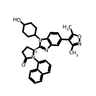 Cc1noc(C)c1-c1ccc2c(c1)nc([C@@H]1CCC(=O)N1c1cccc3ccccc13)n2C1CCC(O)CC1